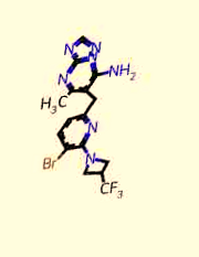 Cc1nc2ncnn2c(N)c1Cc1ccc(Br)c(N2CC(C(F)(F)F)C2)n1